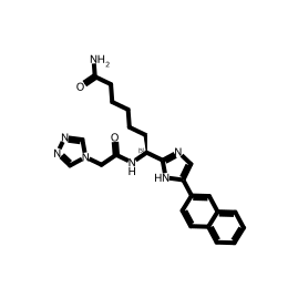 NC(=O)CCCCC[C@H](NC(=O)Cn1cnnc1)c1ncc(-c2ccc3ccccc3c2)[nH]1